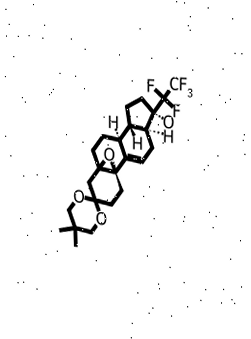 CC1(C)COC2(CC[C@]34OC3(CC[C@@H]3C4=CC[C@@]4(C)[C@H]3CC[C@@]4(O)C(F)(F)C(F)(F)F)C2)OC1